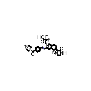 CN1CCN(C(=O)c2ccc(/C=C/c3cc4c(cn3)CCc3c-4nn4c3C(=O)NCC4)cc2)CC1.O=C(O)C(F)(F)F